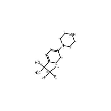 CC(O)(C1=CC=C(N2CCNCC2)CC1)C(F)(F)F